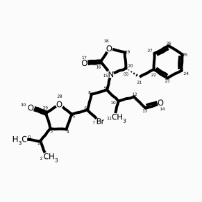 CC(C)C1CC(C(Br)CC(C(C)CC=O)N2C(=O)OC[C@@H]2Cc2ccccc2)OC1=O